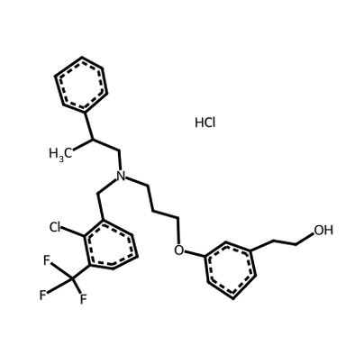 CC(CN(CCCOc1cccc(CCO)c1)Cc1cccc(C(F)(F)F)c1Cl)c1ccccc1.Cl